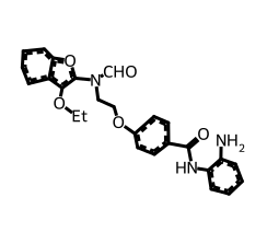 CCOc1c(N(C=O)CCOc2ccc(C(=O)Nc3ccccc3N)cc2)oc2ccccc12